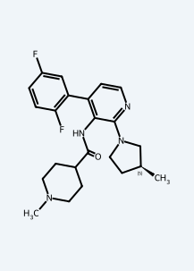 C[C@H]1CCN(c2nccc(-c3cc(F)ccc3F)c2NC(=O)C2CCN(C)CC2)C1